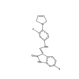 O=C1Nc2cc(F)ccc2/C1=C\Nc1ccc(N2CC=CC2)c(F)c1